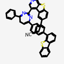 N#Cc1cc(-c2ccc3sc4cncc(C5=NC(c6ccccc6)=CCC(c6ccccc6)=N5)c4c3c2)cc(-c2cccc3c2sc2ccccc23)c1